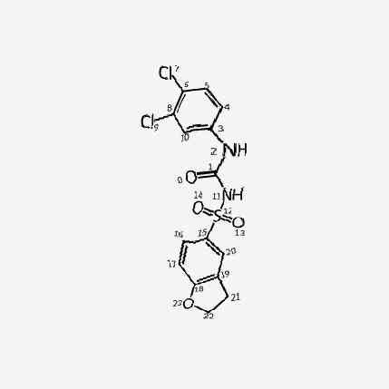 O=C(Nc1ccc(Cl)c(Cl)c1)NS(=O)(=O)c1ccc2c(c1)CCO2